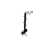 O=C(O)CCOCCOCCOCCOCCCc1cccc(OS(=O)(=O)C(F)(F)F)c1